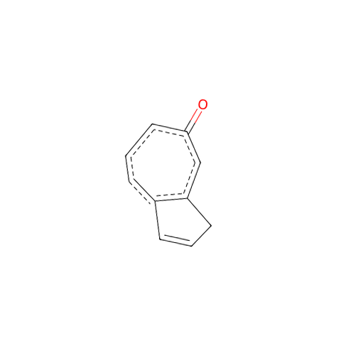 O=c1cccc2c(c1)CC=C2